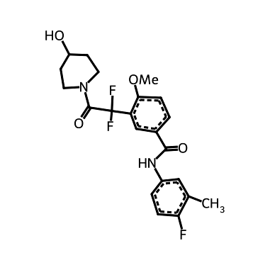 COc1ccc(C(=O)Nc2ccc(F)c(C)c2)cc1C(F)(F)C(=O)N1CCC(O)CC1